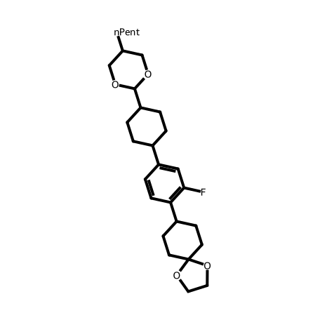 CCCCCC1COC(C2CCC(c3ccc(C4CCC5(CC4)OCCO5)c(F)c3)CC2)OC1